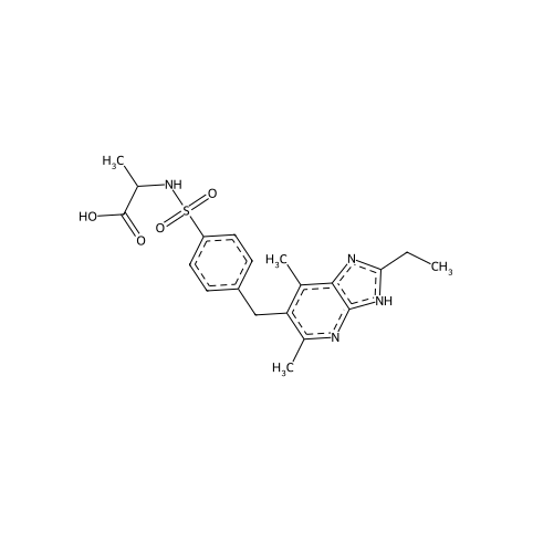 CCc1nc2c(C)c(Cc3ccc(S(=O)(=O)NC(C)C(=O)O)cc3)c(C)nc2[nH]1